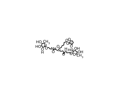 C[C@@H]1O[C@@H](OCCNC(=O)CCN(CCC(=O)NCCO[C@@H]2O[C@@H](C)[C@@H](O)[C@@H](O)[C@@H]2O)C(=O)CCCCC(=O)ON2C(=O)CCC2=O)[C@@H](O)[C@H](O)[C@@H]1O